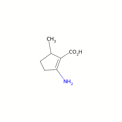 CC1CCC(N)=C1C(=O)O